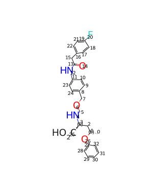 C[C@@H](C[C@H](NCOCc1ccc(NC(=O)Cc2ccc(F)cc2)cc1)C(=O)O)Oc1ccccc1